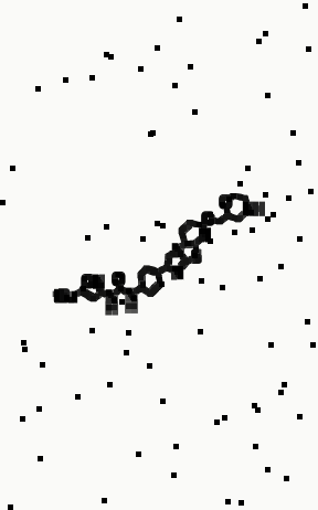 CC(C)(C)c1cc(NC(=O)Nc2ccc(-c3cn4c(n3)sc3nc(OCC5CNCCO5)ccc34)cc2)no1